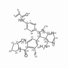 C=C(C)C(=O)Nc1ccc(-c2c(-c3ccc(C(=O)N4CCC[C@H]4C#N)c(F)c3)c3c(N)ncnc3n2C)cc1